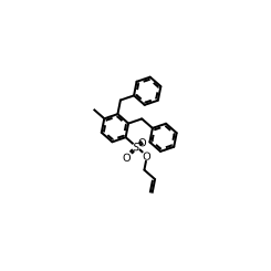 C=CCOS(=O)(=O)c1ccc(C)c(Cc2ccccc2)c1Cc1ccccc1